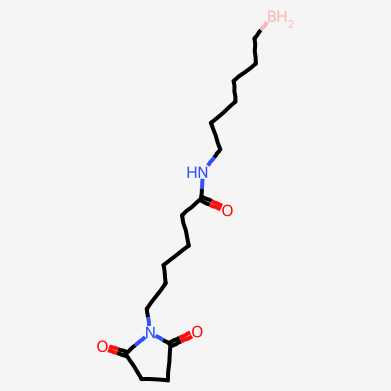 BCCCCCCNC(=O)CCCCCN1C(=O)CCC1=O